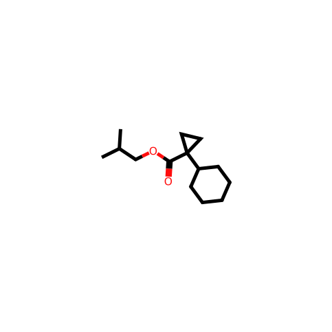 CC(C)COC(=O)C1(C2CCCCC2)CC1